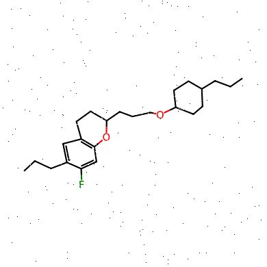 CCCc1cc2c(cc1F)OC(CCCOC1CCC(CCC)CC1)CC2